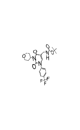 CC(C)(C)OC(=O)NCc1cn(-c2ccc(C(F)(F)F)cc2)c(=O)n(C2CCOCC2)c1=O